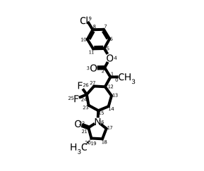 CC(C(=O)Oc1ccc(Cl)cc1)C1CCC(N2CC[C@H](C)C2=O)CC(F)(F)C1